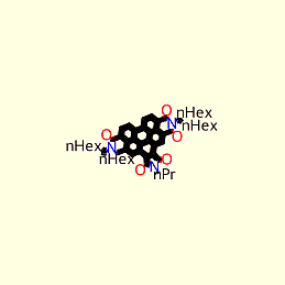 CCCCCCC(CCCCCC)N1Cc2cc3c4c(=O)n(CCC)c(=O)c4c4cc5c6c(ccc7c8ccc(c2c8c3c4c67)C1=O)C(=O)N(C(CCCCCC)CCCCCC)C5=O